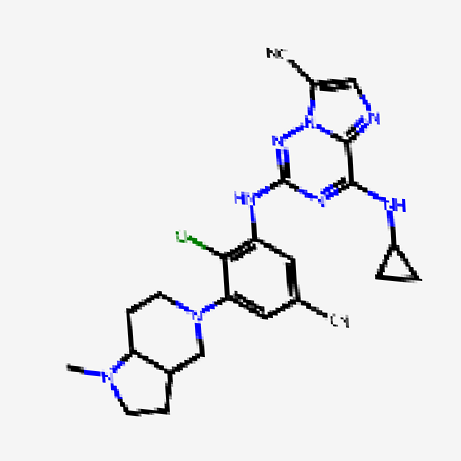 CN1CCC2CN(c3cc(C#N)cc(Nc4nc(NC5CC5)c5ncc(C#N)n5n4)c3Cl)CCC21